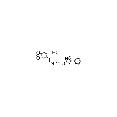 CN(CCCOc1nsc(-c2ccccc2)n1)CCc1ccc2c(c1)OCO2.Cl